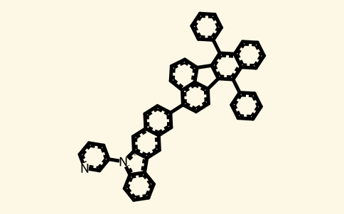 c1ccc(-c2c3c(c(-c4ccccc4)c4ccccc24)-c2ccc(-c4ccc5cc6c(cc5c4)c4ccccc4n6-c4cccnc4)c4cccc-3c24)cc1